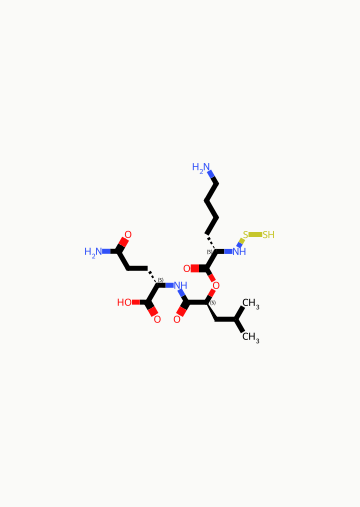 CC(C)C[C@H](OC(=O)[C@H](CCCCN)NSS)C(=O)N[C@@H](CCC(N)=O)C(=O)O